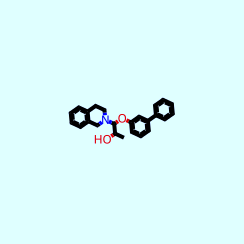 CC(O)C(Oc1cccc(-c2ccccc2)c1)N1CCc2ccccc2C1